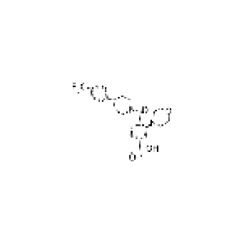 O=C(c1ccc(C2(O)COC2)cc1N1CCOCC1)N1CCC(c2ccc(C(F)(F)F)cc2)CC1